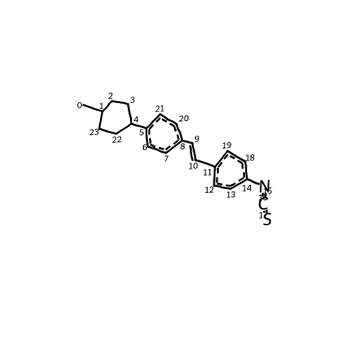 CC1CCC(c2ccc(C=Cc3ccc(N=C=S)cc3)cc2)CC1